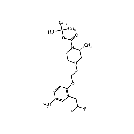 C[C@@H]1CN(CCOc2ccc(N)cc2CC(F)F)CCN1C(=O)OC(C)(C)C